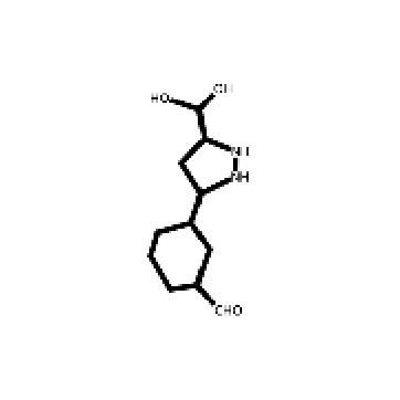 O=CC1CCCC(C2CC(C(O)O)NN2)C1